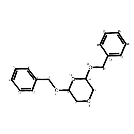 c1ccc(COC2COCC(OCc3ccccc3)O2)cc1